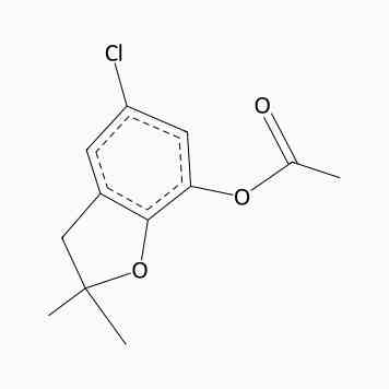 CC(=O)Oc1cc(Cl)cc2c1OC(C)(C)C2